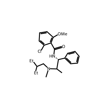 CCC(CC)CN(C)C(C)[C@H](NC(=O)c1c(Cl)cccc1OC)c1ccccc1